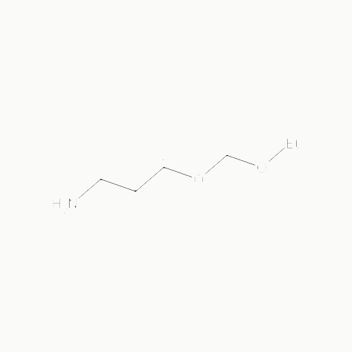 CCOCOCCCN